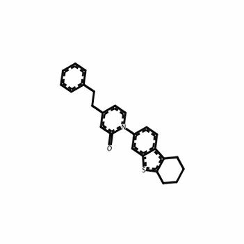 O=c1cc(CCc2ccccc2)ccn1-c1ccc2c3c(sc2c1)CCCC3